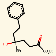 CCC[C@@](O)(CCC(=O)C(=O)OCC)CCc1ccccc1